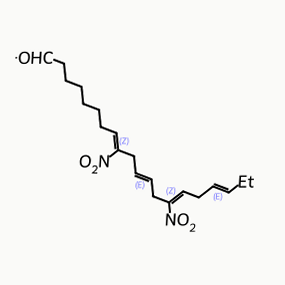 CC/C=C/C/C=C(/C/C=C/C/C(=C/CCCCCC[C]=O)[N+](=O)[O-])[N+](=O)[O-]